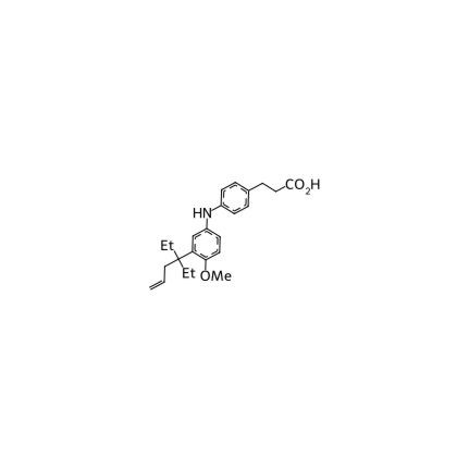 C=CCC(CC)(CC)c1cc(Nc2ccc(CCC(=O)O)cc2)ccc1OC